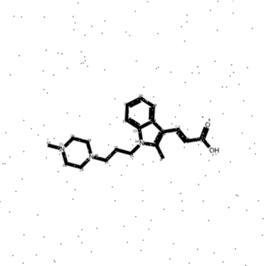 Cc1c(/C=C/C(=O)O)c2ccccc2n1CCCN1CCN(C)CC1